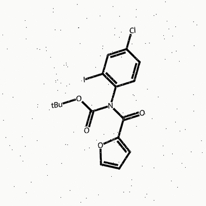 CC(C)(C)OC(=O)N(C(=O)c1ccco1)c1ccc(Cl)cc1I